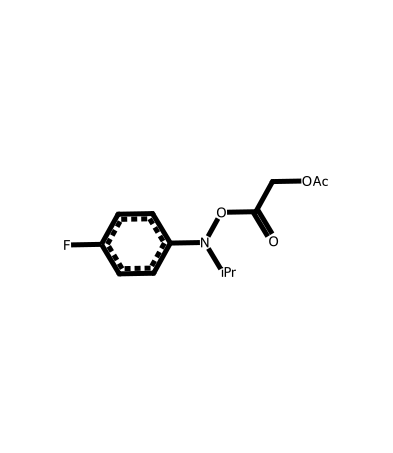 CC(=O)OCC(=O)ON(c1ccc(F)cc1)C(C)C